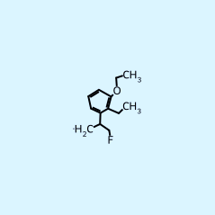 [CH2]C(CF)c1cccc(OCC)c1CC